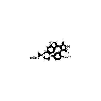 COc1ccc(N2CCN(C(=O)OC(C)(C)C)CC2)cc1C1=C(c2c[nH]c3ccccc23)C(=O)NC1=O